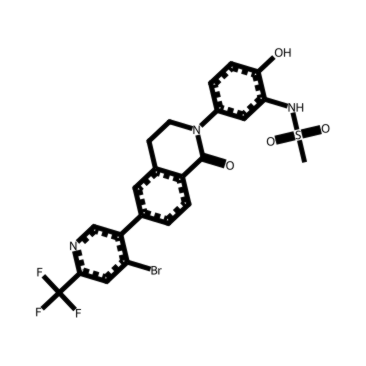 CS(=O)(=O)Nc1cc(N2CCc3cc(-c4cnc(C(F)(F)F)cc4Br)ccc3C2=O)ccc1O